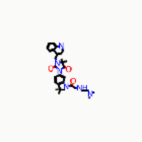 CN(C)CCNCC(=O)N1CC(C)(C)c2ccc(N3C(=O)N(Cc4ccnc5ccccc45)C(C)(C)C3=O)cc21